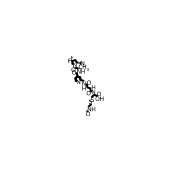 CC(NC(=O)c1ccnc(CNC(=O)CCC(=O)NC(CSSCCNC=O)C(=O)O)c1)C(=O)N1CC(F)(F)C[C@H]1C#N